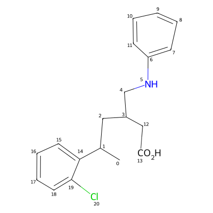 CC(CC(CNc1ccccc1)CC(=O)O)c1ccccc1Cl